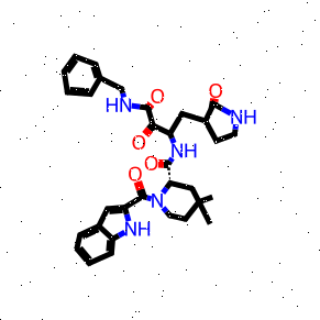 CC1(C)CCN(C(=O)c2cc3ccccc3[nH]2)[C@H](C(=O)NC(CC2CCNC2=O)C(=O)C(=O)NCc2ccccc2)C1